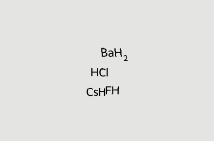 Cl.F.[BaH2].[CsH]